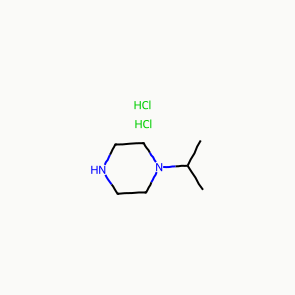 CC(C)N1CCNCC1.Cl.Cl